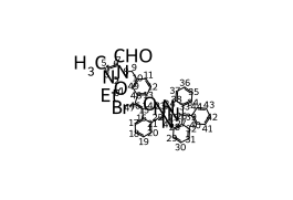 CCOc1nc(C)c(C=O)n1Cc1ccc2oc(-c3ccccc3-c3nnn(C(c4ccccc4)(c4ccccc4)c4ccccc4)n3)c(Br)c2c1